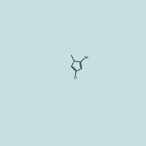 Cn1cc(Cl)cc1S